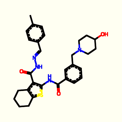 Cc1ccc(/C=N/NC(=O)c2c(NC(=O)c3cccc(CN4CCC(O)CC4)c3)sc3c2CCCC3)cc1